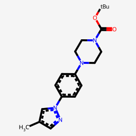 Cc1cnn(-c2ccc(N3CCN(C(=O)OC(C)(C)C)CC3)cc2)c1